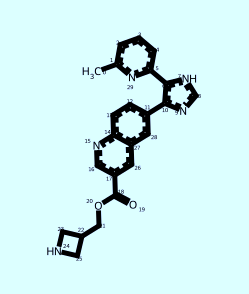 Cc1cccc(-c2[nH]cnc2-c2ccc3ncc(C(=O)OCC4CNC4)cc3c2)n1